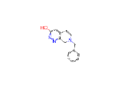 Oc1cc2c(nn1)CN(Cc1ccccc1)C=C2